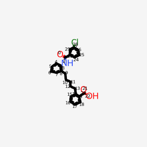 O=C(Nc1ccccc1CCCCCc1ccccc1C(=O)O)c1cccc(Cl)c1